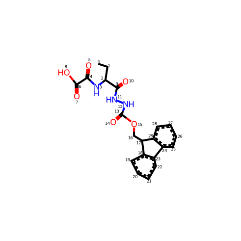 CCC(NC(=O)C(=O)O)C(=O)NNC(=O)OCC1c2ccccc2-c2ccccc21